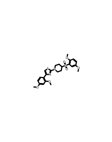 COc1ccc(-c2csc(N3CCC(S(=O)(=O)c4cc(OC)ccc4OC)CC3)n2)c(OC)c1